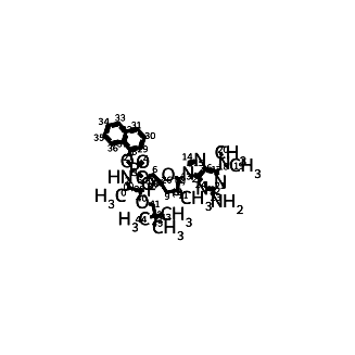 C[C@H](NP(=O)(OC[C@]1(F)C[C@H](C)[C@H](n2cnc3c(N(C)C)nc(N)nc32)O1)Oc1cccc2ccccc12)C(=O)OCC(C)(C)C